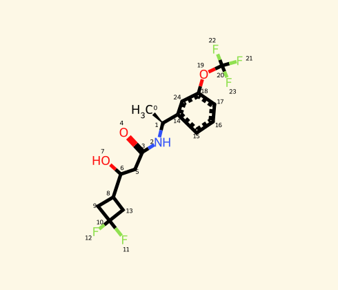 C[C@H](NC(=O)CC(O)C1CC(F)(F)C1)c1cccc(OC(F)(F)F)c1